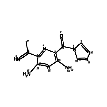 CC(=N)c1nc(C(=O)n2ccnc2)c(N)nc1N